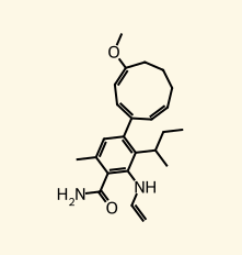 C=CNc1c(C(N)=O)c(C)cc(C2=C/C=C(/OC)CCC/C=C\2)c1C(C)CC